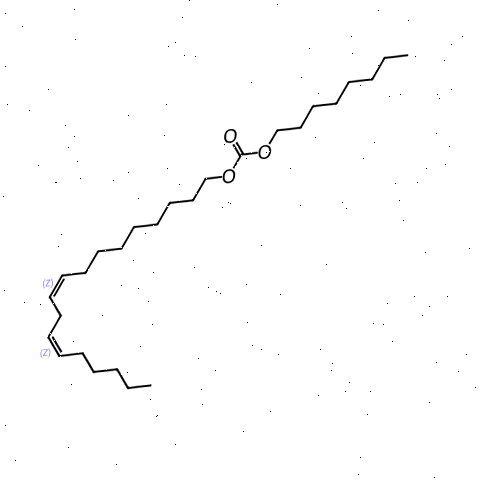 CCCCC/C=C\C/C=C\CCCCCCCCOC(=O)OCCCCCCCC